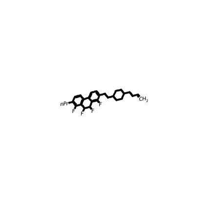 C=CCCC1CCC(CCc2ccc3c(c2F)C(F)C(F)c2c-3ccc(CCC)c2F)CC1